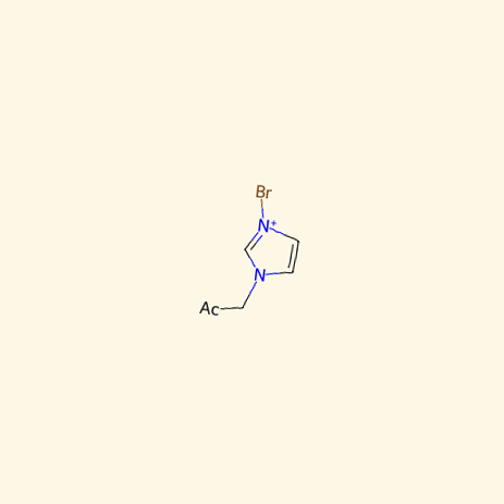 CC(=O)Cn1cc[n+](Br)c1